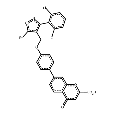 CC(C)c1onc(-c2c(Cl)cccc2Cl)c1COc1ccc(-c2ccc3c(=O)cc(C(=O)O)oc3c2)cc1